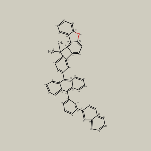 CC1(C)c2ccc(-c3c4ccccc4c(-c4cccc(-c5ccc6ccccc6c5)c4)c4ccccc34)cc2-c2ccc3oc4ccccc4c3c21